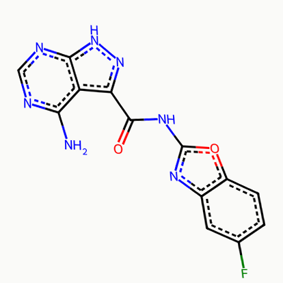 Nc1ncnc2[nH]nc(C(=O)Nc3nc4cc(F)ccc4o3)c12